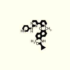 Cc1ccc2c(Oc3ncccc3-c3ccnc(NC4CCCNC4)n3)c(C)ccc2c1NC(=O)C1CC1